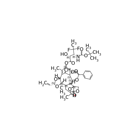 C=C[C@@H]1O[C@@H]2C3=C(C)[C@@H](OC(=O)[C@H](O)[C@@H](NC(=O)OC(C)(C)C)C(C)(F)F)C[C@](O)(C3=C)[C@@H](OC(=O)c3ccccc3)[C@H]3[C@@](C)(CC[C@H]4OC[C@]43OC(C)=O)[C@@H]2O1